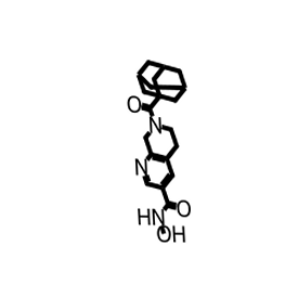 O=C(NO)c1cnc2c(c1)CCN(C(=O)C13CC4CC(CC(C4)C1)C3)C2